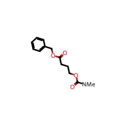 CNC(=O)OCCCC(=O)OCc1ccccc1